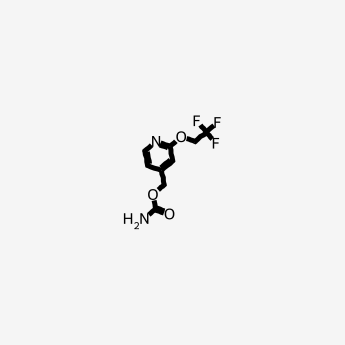 NC(=O)OCc1ccnc(OCC(F)(F)F)c1